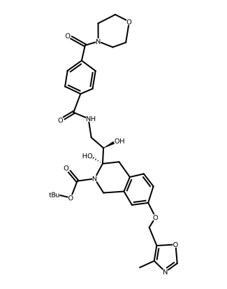 Cc1ncoc1COc1ccc2c(c1)CN(C(=O)OC(C)(C)C)[C@@](O)([C@H](O)CNC(=O)c1ccc(C(=O)N3CCOCC3)cc1)C2